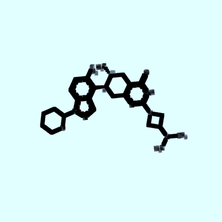 Cc1ccc2c(cnn2C2CCCCO2)c1[C@@H]1Cc2nc(N3CC(N(C)C)C3)[nH]c(=O)c2C[C@H]1C